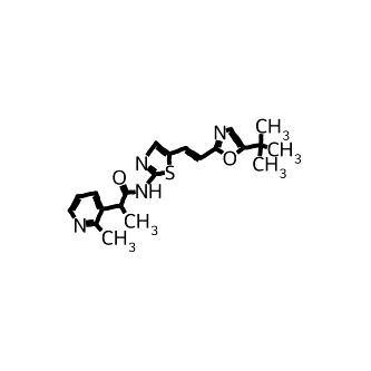 Cc1ncccc1C(C)C(=O)Nc1ncc(C=Cc2ncc(C(C)(C)C)o2)s1